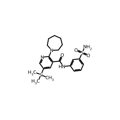 C[Si](C)(C)c1cnc(N2CCCCCC2)c(C(=O)Nc2cccc(S(N)(=O)=O)c2)c1